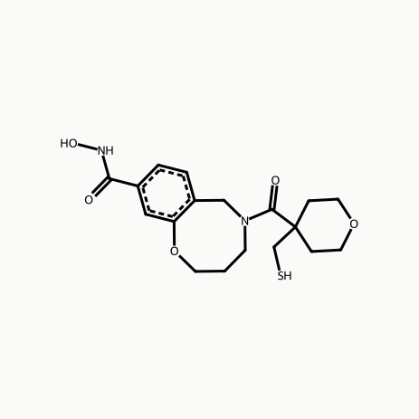 O=C(NO)c1ccc2c(c1)OCCCN(C(=O)C1(CS)CCOCC1)C2